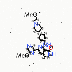 COCCN1CCC(c2ccc(Nc3nc(-c4cncc(OC)n4)cc4cc[nH]c(=O)c34)cc2)CC1